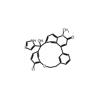 Cn1c(=O)cc2c3cc(ccc31)C(O)(c1cnc[nH]1)c1ccc(Cl)c(c1)OCCc1cccc-2c1